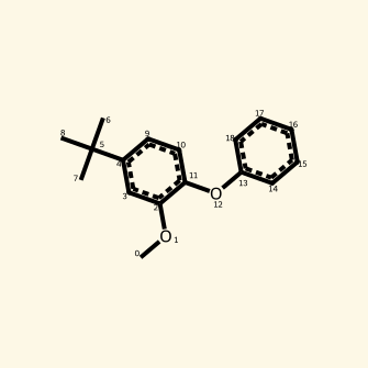 COc1cc(C(C)(C)C)ccc1Oc1ccccc1